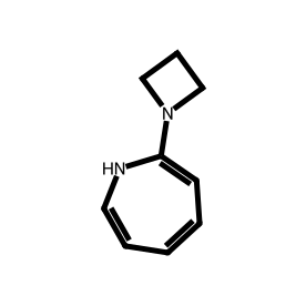 C1=CC=C(N2CCC2)NC=C1